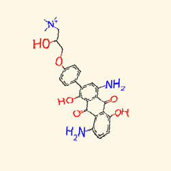 C[N+](C)(C)CC(O)COc1ccc(-c2cc(N)c3c(c2O)C(=O)c2c(N)ccc(O)c2C3=O)cc1